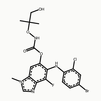 Cn1cnc2c(F)c(Nc3ccc(Br)cc3Cl)c(OC(=O)NOC(C)(C)CO)cc21